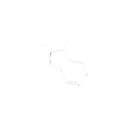 CC1=c2cccc(C)c2=C(C)C1=O